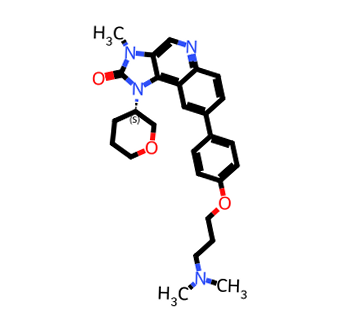 CN(C)CCCOc1ccc(-c2ccc3ncc4c(c3c2)n([C@H]2CCCOC2)c(=O)n4C)cc1